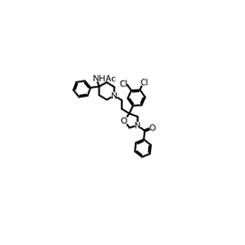 CC(=O)NC1(c2ccccc2)CCN(CCC2(c3ccc(Cl)c(Cl)c3)CN(C(=O)c3ccccc3)CO2)CC1